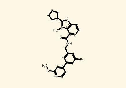 COc1cc(-c2cc(F)cc(CNC(=O)c3nccc4c3N(C)C(C3CCCC3)N4)c2)ccn1